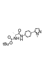 C[C@@H](NC(=O)OC(C)(C)C)C(=O)Nc1ccc(-c2ccnn2C)cc1